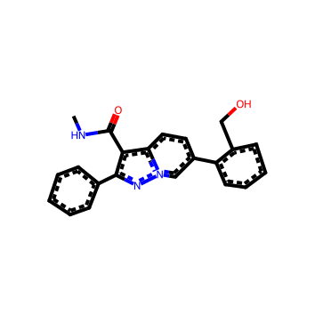 CNC(=O)c1c(-c2ccccc2)nn2cc(-c3ccccc3CO)ccc12